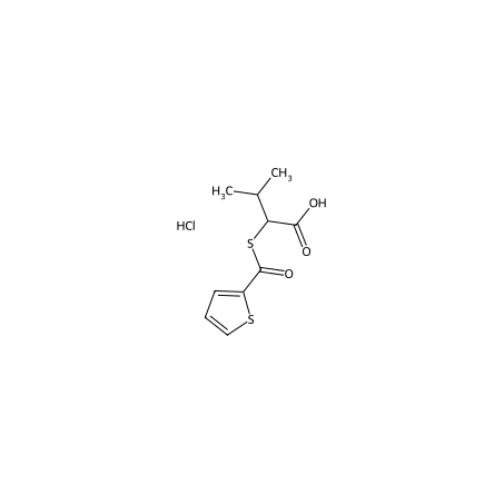 CC(C)C(SC(=O)c1cccs1)C(=O)O.Cl